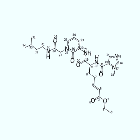 CCOC(=O)/C=C/CC[C@H](NC(=O)c1cncn1C)C(=O)Nc1cccn(CC(=O)NCCC(C)C)c1=O